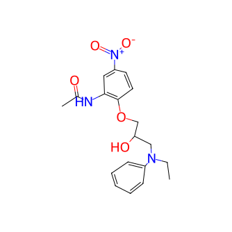 CCN(CC(O)COc1ccc([N+](=O)[O-])cc1NC(C)=O)c1ccccc1